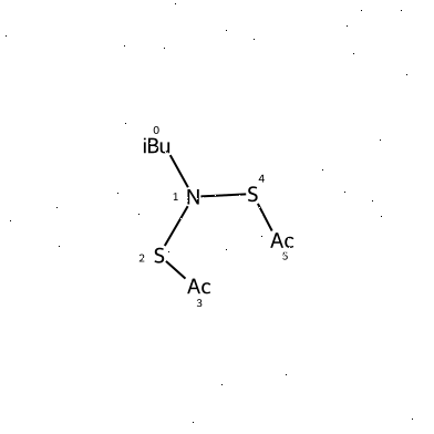 CCC(C)N(SC(C)=O)SC(C)=O